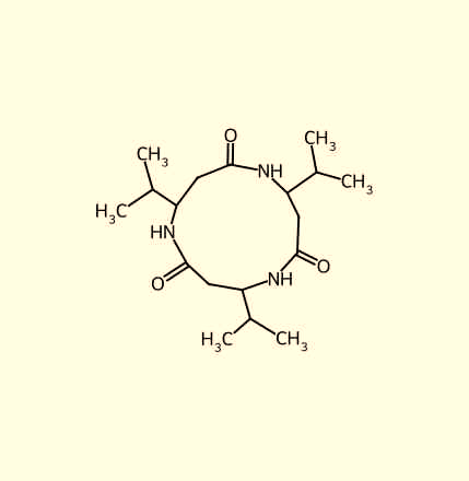 CC(C)C1CC(=O)NC(C(C)C)CC(=O)NC(C(C)C)CC(=O)N1